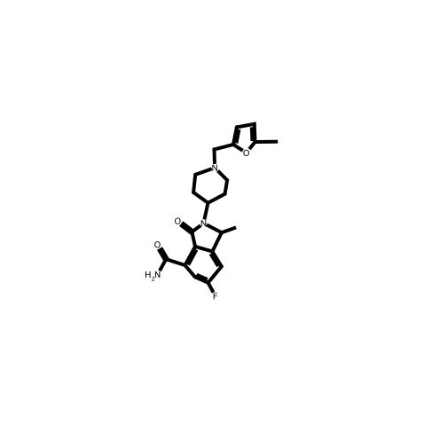 Cc1ccc(CN2CCC(N3C(=O)c4c(C(N)=O)cc(F)cc4C3C)CC2)o1